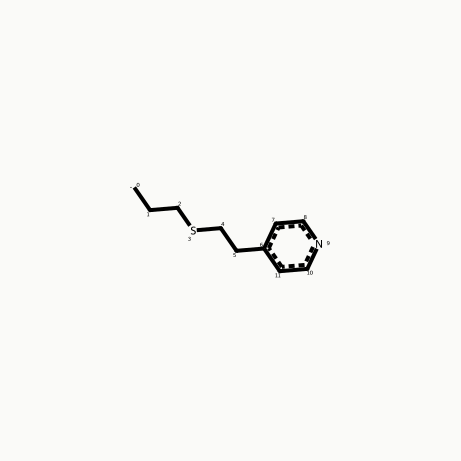 [CH2]CCSCCc1ccncc1